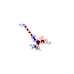 CC(C)[C@@H](C(N)=O)N(C)C(=O)OCc1cc(NC(=O)CCC(=O)NCCOCCOCCOCCON)ccc1OC1OC(C(=O)O)C(O)C(O)C1O